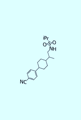 CC(CNS(=O)(=O)C(C)C)C1CCC(c2ccc(C#N)cc2)CC1